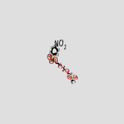 C=CS(=O)(=O)CCOCCOCCOS(=O)(=O)c1ccc([N+](=O)[O-])cc1